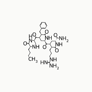 CCCC[C@@H]1NC[C@H](C(=O)C2C[C@H](C(=O)C3C[C@H](C(N)=O)NC(=O)[C@H]3CCCNC(=N)N)NC(=O)[C@@H]2Cc2ccccc2)NC1=O